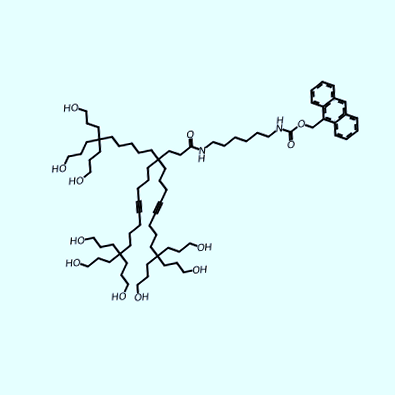 O=C(CCC(CCCC#CCCCC(CCCO)(CCCO)CCCO)(CCCC#CCCCC(CCCO)(CCCO)CCCO)CCCCCC(CCCO)(CCCO)CCCO)NCCCCCCNC(=O)OCc1c2ccccc2cc2ccccc12